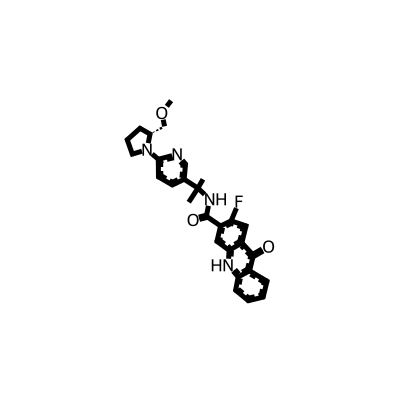 COC[C@H]1CCCN1c1ccc(C(C)(C)NC(=O)c2cc3[nH]c4ccccc4c(=O)c3cc2F)cn1